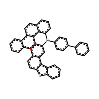 c1ccc(-c2ccc(N(c3ccc4ccc5oc6ccccc6c5c4c3)c3cccc4ccc5c6ccccc6ccc5c34)cc2)cc1